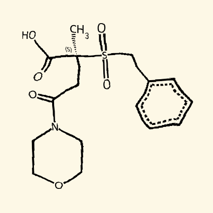 C[C@](CC(=O)N1CCOCC1)(C(=O)O)S(=O)(=O)Cc1ccccc1